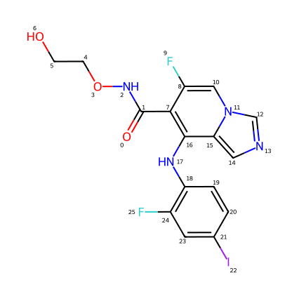 O=C(NOCCO)c1c(F)cn2cncc2c1Nc1ccc(I)cc1F